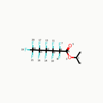 CC(C)OC(=O)C(F)(F)C(F)(F)C(F)(F)C(F)(F)C(F)(F)F